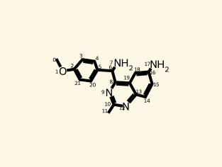 COc1ccc(C(N)c2nc(C)nc3ccc(N)cc23)cc1